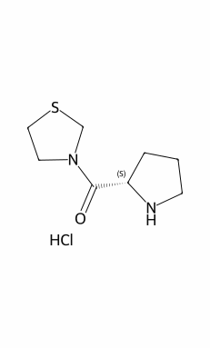 Cl.O=C([C@@H]1CCCN1)N1CCSC1